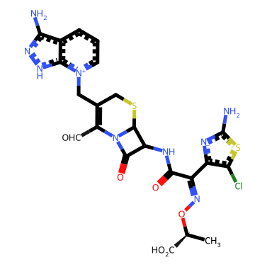 C[C@H](O/N=C(\C(=O)NC1C(=O)N2C(C=O)=C(C[n+]3cccc4c(N)n[nH]c43)CSC12)c1nc(N)sc1Cl)C(=O)O